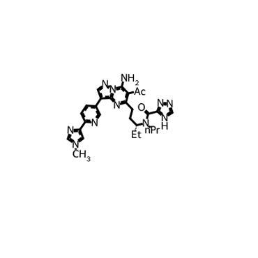 CCCN(C(=O)c1nnc[nH]1)[C@H](CC)CCc1nc2c(-c3ccc(-c4cn(C)cn4)nc3)cnn2c(N)c1C(C)=O